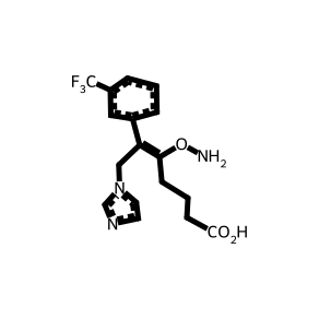 NO/C(CCCC(=O)O)=C(/Cn1ccnc1)c1cccc(C(F)(F)F)c1